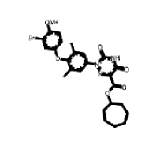 COc1ccc(Oc2c(C)cc(-n3nc(C(=O)OC4CCCCCC4)c(=O)[nH]c3=O)cc2C)cc1Br